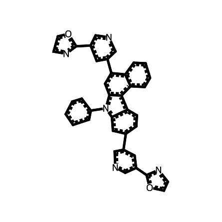 c1ccc(-n2c3cc(-c4cncc(-c5ncco5)c4)ccc3c3c4ccccc4c(-c4cncc(-c5ncco5)c4)cc32)cc1